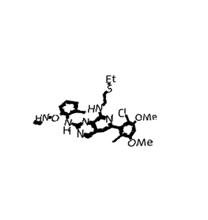 C=CNOc1cccc(C)c1Nc1ncc2cc(-c3c(C)c(OC)cc(OC)c3Cl)nc(NCCSCC)c2n1